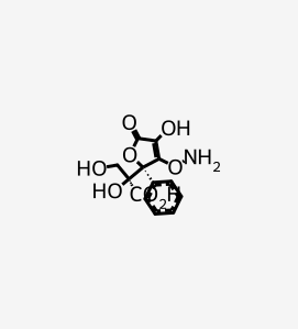 NOC1=C(O)C(=O)O[C@]1(c1ccccc1)[C@@](O)(CO)C(=O)O